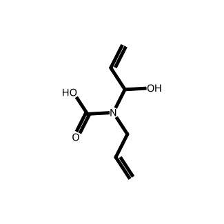 C=CCN(C(=O)O)C(O)C=C